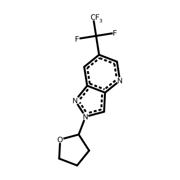 FC(F)(F)C(F)(F)c1cnc2cn(C3CCCO3)nc2c1